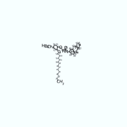 Br.CCCCCCCCCCCCCCOc1cc(Cl)ccc1OCC(=O)Nc1cccc(CN2CSC=C2C)c1